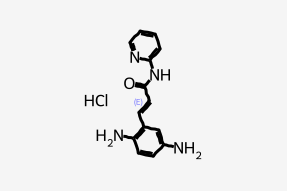 Cl.Nc1ccc(N)c(/C=C/C(=O)Nc2ccccn2)c1